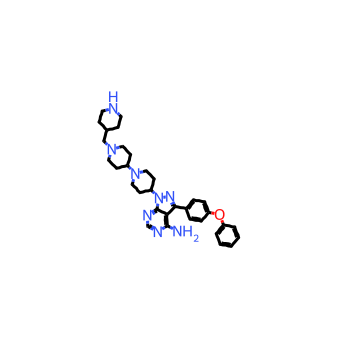 Nc1ncnc2c1c(-c1ccc(Oc3ccccc3)cc1)nn2C1CCN(C2CCN(CC3CCNCC3)CC2)CC1